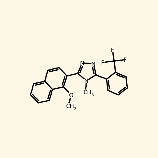 COc1c(-c2nnc(-c3ccccc3C(F)(F)F)n2C)ccc2ccccc12